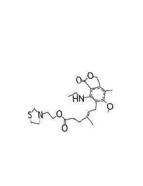 CCNc1c(C/C=C(\C)CCC(=O)OCCN2CCSC2)c(OC)c(C)c2c1C(=O)OC2